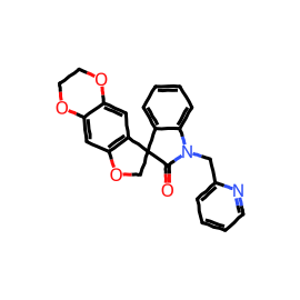 O=C1N(Cc2ccccn2)c2ccccc2C12COc1cc3c(cc12)OCCO3